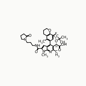 Cc1nc2c(cc(C(=O)NCCCN3CCCC3=O)n2C)c(-c2cc(F)c3c(c2C)CCCO3)c1[C@H](OC(C)(C)C)C(=O)O